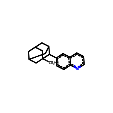 O=C(O)C12CC3CC(CC(C3)C1c1ccc3ncccc3c1)C2